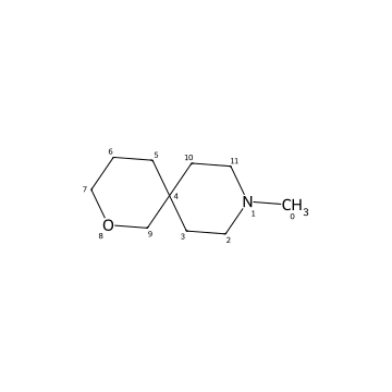 CN1CCC2(CCCOC2)CC1